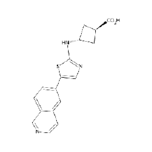 O=C(O)[C@H]1C[C@H](Nc2ncc(-c3ccc4cnccc4c3)s2)C1